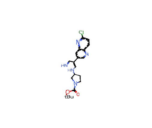 CC(C)(C)OC(=O)N1CCC(N/C=C(\C=N)c2cnc3ccc(Cl)nc3c2)C1